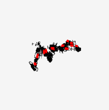 Cc1c(Nc2nc3ccccc3s2)nnc2c1CCCN2c1ccc(-c2cnn(CC34C[C@H]5C[C@@H](C3)CC(OCC[N+]3(Cc6ccc(NC(=O)[C@H](CCCNC(N)=O)NC(=O)[C@@H](NC(=O)CCOCCN7C(=O)C=CC7=O)C(C)C)cc6)CCCC3)(C5)C4)c2C)c(C(=O)O)n1